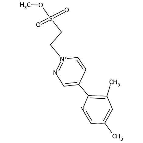 COS(=O)(=O)CC[n+]1ccc(-c2ncc(C)cc2C)cn1